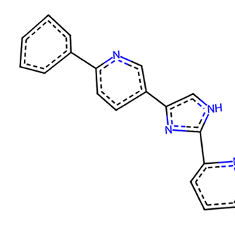 c1ccc(-c2ccc(-c3c[nH]c(-c4ccccn4)n3)cn2)cc1